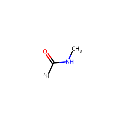 [3H]C(=O)NC